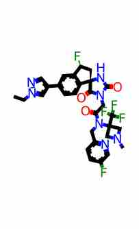 CCn1cc(-c2ccc3c(c2)[C@H](F)C[C@]32NC(=O)N(CC(=O)N(Cc3ccc(F)cn3)C3(C(F)(F)F)CN(C)C3)C2=O)cn1